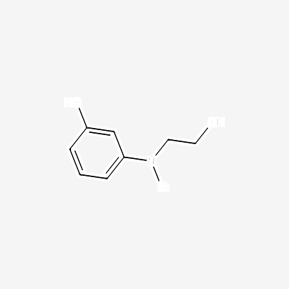 CCN(CCO)c1cccc(O)c1